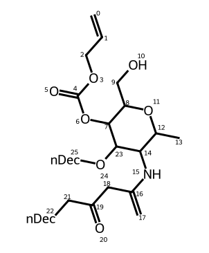 C=CCOC(=O)OC1C(CO)OC(C)C(NC(=C)CC(=O)CCCCCCCCCCC)C1OCCCCCCCCCC